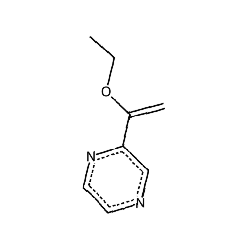 C=C(OCC)c1cnccn1